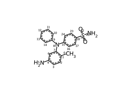 Cc1ccc(N)cc1N(c1ccccc1)c1ccc(S(N)(=O)=O)cc1